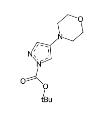 CC(C)(C)OC(=O)n1cc(N2CCOCC2)cn1